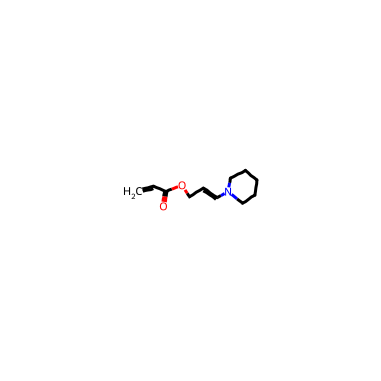 C=CC(=O)OCC=CN1CCCCC1